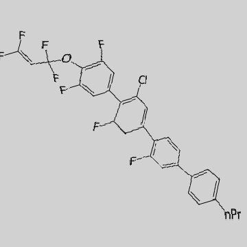 CCCc1ccc(-c2ccc(C3=CC(Cl)=C(c4cc(F)c(OC(F)(F)C=C(F)F)c(F)c4)C(F)C3)c(F)c2)cc1